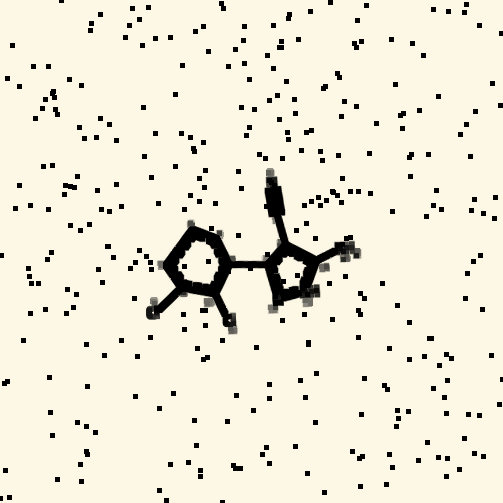 N#Cc1c(-c2cccc(Cl)c2Cl)n[nH]c1N